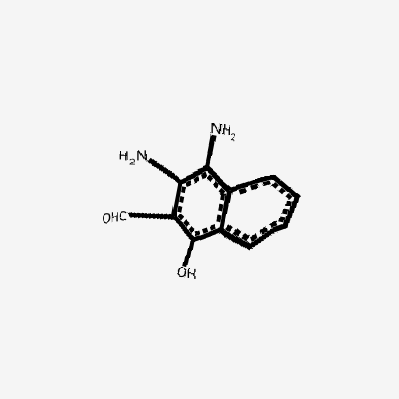 Nc1c(C=O)c(O)c2ccccc2c1N